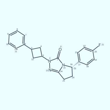 O=c1n(C2CC(c3ccccn3)C2)nc2n1[C@H](c1ccc(F)cc1)CC2